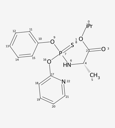 CC(C)OC(=O)[C@H](C)NP(=S)(Oc1ccccc1)Oc1ccccn1